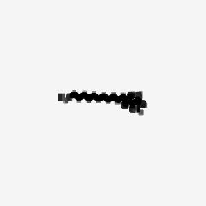 CCCCCCCCCCCCS(=O)(=O)C(C)C(=O)Cl